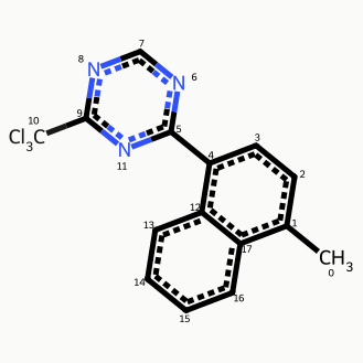 Cc1ccc(-c2ncnc(C(Cl)(Cl)Cl)n2)c2ccccc12